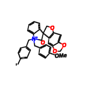 [CH]c1ccc(C[N+]2(Cc3ccc(OC)cc3)C(=O)C3(COc4cc5c(cc43)OCO5)c3ccccc32)cc1